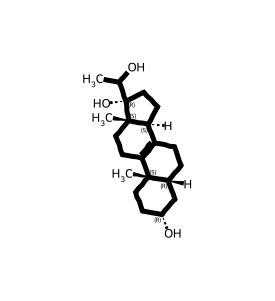 CC(O)[C@@]1(O)CC[C@H]2C3=C(CC[C@@]21C)[C@@]1(C)CC[C@@H](O)C[C@H]1CC3